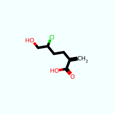 C=C(CCC(Cl)CO)C(=O)O